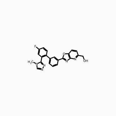 Cn1cnnc1-c1cc(F)ccc1-c1cccc(-c2nc3nc(CO)ccc3o2)c1